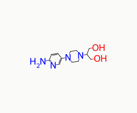 Nc1ccc(N2CCN(C(CO)CO)CC2)cn1